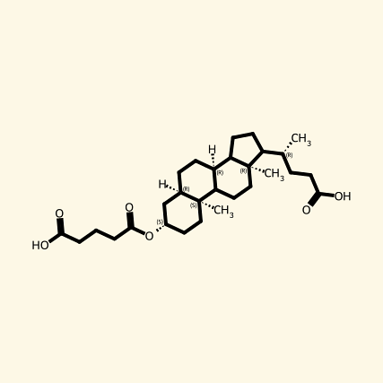 C[C@H](CCC(=O)O)C1CCC2[C@@H]3CC[C@@H]4C[C@@H](OC(=O)CCCC(=O)O)CC[C@]4(C)C3CC[C@@]21C